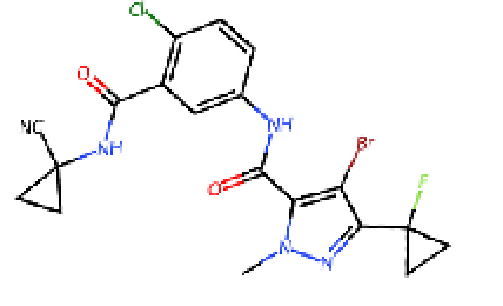 Cn1nc(C2(F)CC2)c(Br)c1C(=O)Nc1ccc(Cl)c(C(=O)NC2(C#N)CC2)c1